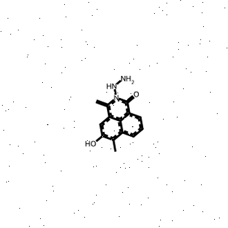 C=c1c2cc(O)c(C)c3cccc(c(=O)n1NN)c32